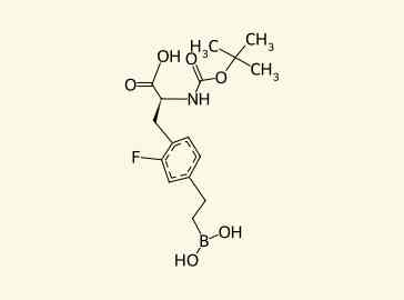 CC(C)(C)OC(=O)N[C@@H](Cc1ccc(CCB(O)O)cc1F)C(=O)O